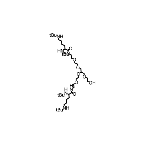 CC(C)(C)NCCCCC(NC(C)(C)C)C(=O)NCCOCCOCC(COCCO)OCCOCCNC(=O)C(CCCCNC(C)(C)C)NC(C)(C)C